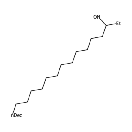 CCCCCCCCCCCCCCCCCCCCCCC(CC)N=O